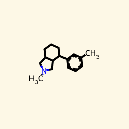 Cc1cccc(C2CCCC3CN(C)CC32)c1